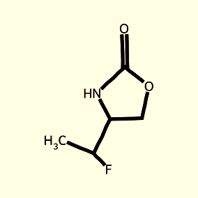 CC(F)C1COC(=O)N1